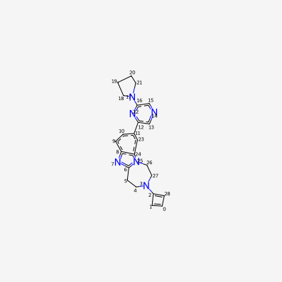 C1=CC(N2CCc3nc4ccc(-c5cncc(N6CCCC6)n5)cc4n3CC2)=C1